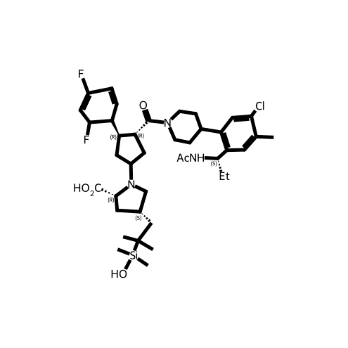 CC[C@H](NC(C)=O)c1cc(C)c(Cl)cc1C1CCN(C(=O)[C@@H]2CC(N3C[C@H](CC(C)(C)[Si](C)(C)O)C[C@@H]3C(=O)O)C[C@H]2C2C=CC(F)=CC2F)CC1